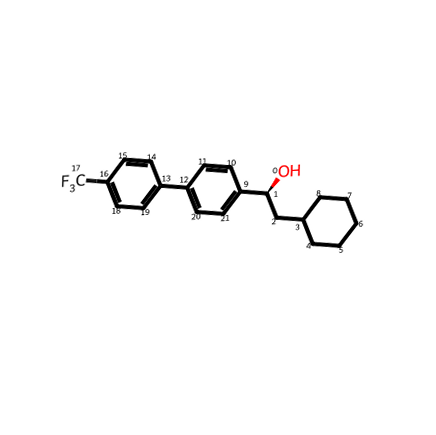 O[C@@H](CC1CCCCC1)c1ccc(-c2ccc(C(F)(F)F)cc2)cc1